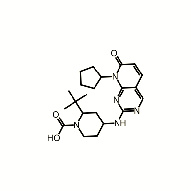 CC(C)(C)C1CC(Nc2ncc3ccc(=O)n(C4CCCC4)c3n2)CCN1C(=O)O